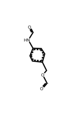 O=[C]OCc1ccc(NC=O)cc1